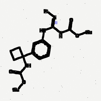 CC/N=C(/NC(=O)OC(C)(C)C)Nc1cccc(C2(NC(=O)OC(C)(C)C)CCC2)c1